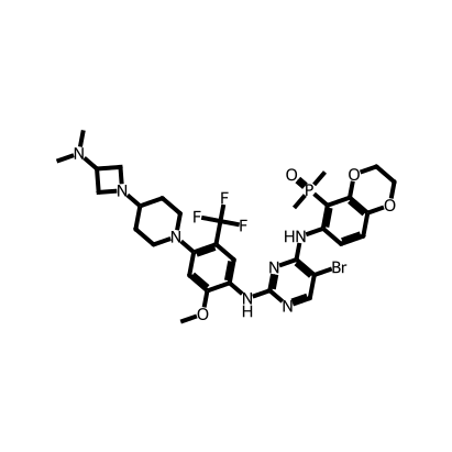 COc1cc(N2CCC(N3CC(N(C)C)C3)CC2)c(C(F)(F)F)cc1Nc1ncc(Br)c(Nc2ccc3c(c2P(C)(C)=O)OCCO3)n1